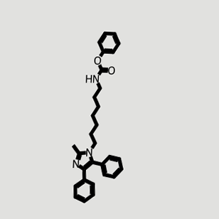 Cc1nc(-c2ccccc2)c(-c2ccccc2)n1CCCCCCCNC(=O)Oc1ccccc1